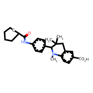 CN1c2ccc(C(=O)O)cc2CC(C)(C)C1c1ccc(NC(=O)C2CCCCC2)cc1